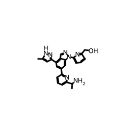 Cc1cc(-c2cc(-c3cccc(C(C)N)n3)cc3c2cnn3-c2cccc(CO)n2)n[nH]1